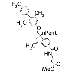 C=CCC(CCCCC)(COc1cc(C)c(-c2ccc(C(F)(F)F)cc2)c(C)c1)c1ccc(C(=O)NCCC(=O)OC)cc1